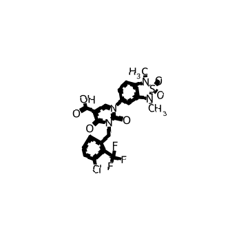 CN1c2ccc(-n3cc(C(=O)O)c(=O)n(Cc4cccc(Cl)c4C(F)(F)F)c3=O)cc2N(C)S1(=O)=O